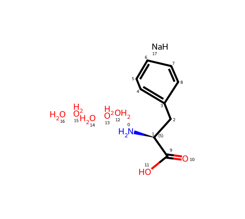 N[C@@H](Cc1ccccc1)C(=O)O.O.O.O.O.O.[NaH]